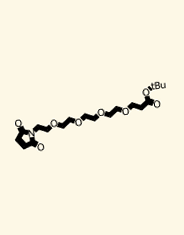 CC(C)(C)OC(=O)CCOCCOCCOCCOCCN1C(=O)C=CC1=O